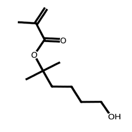 C=C(C)C(=O)OC(C)(C)CCCCO